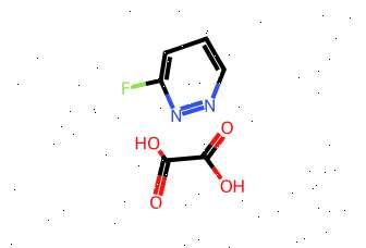 Fc1cccnn1.O=C(O)C(=O)O